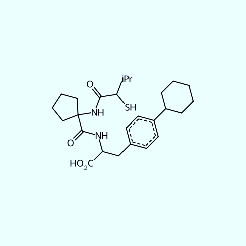 CC(C)C(S)C(=O)NC1(C(=O)NC(Cc2ccc(C3CCCCC3)cc2)C(=O)O)CCCC1